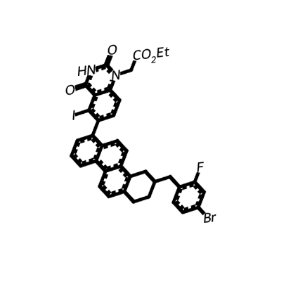 CCOC(=O)Cn1c(=O)[nH]c(=O)c2c(I)c(-c3cccc4c3ccc3c5c(ccc34)CCC(Cc3ccc(Br)cc3F)C5)ccc21